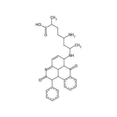 CC(CC(N)CCC(C)S(=O)O)NC1C=CC2=NC(=O)C(c3ccccc3)C3c4ccccc4C(=O)C1C23